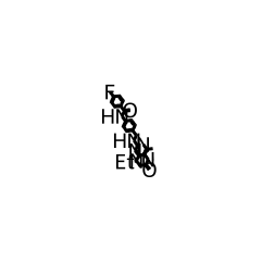 CCN1CC(=O)N(C)c2c(C)nc(NCc3ccc(NC(=O)c4ccc(F)cc4)cc3)nc21